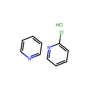 Cl.Clc1ccccn1.c1ccncc1